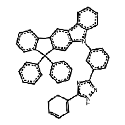 C1=CCCC(c2nc(-c3cccc(-n4c5ccccc5c5cc6c(cc54)C(c4ccccc4)(c4ccccc4)c4ccccc4-6)c3)n[nH]2)=C1